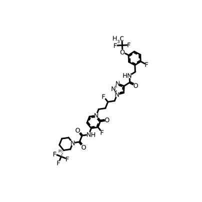 CC(F)(F)Oc1ccc(F)c(CNC(=O)c2cn(CC(F)CCn3ccc(NC(=O)C(=O)N4CCC[C@@H](C(F)(F)F)C4)c(F)c3=O)nn2)c1